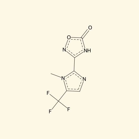 Cn1c(C(F)(F)F)cnc1-c1noc(=O)[nH]1